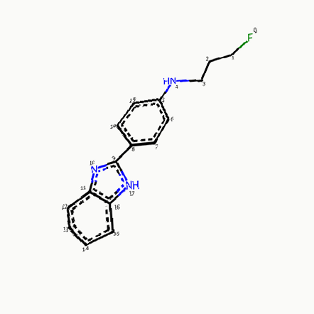 FCCCNc1ccc(-c2nc3ccccc3[nH]2)cc1